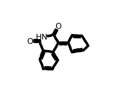 O=C1NC(=O)c2ccccc2C1=C1C=CCC=C1